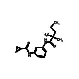 CCCC(C)(C)C(=O)Nc1cccc(NC(=O)C2CC2)c1